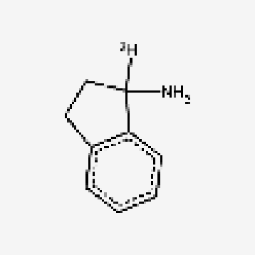 [2H]C1(N)CCc2ccccc21